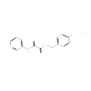 O=C(NCc1ccc(C(=O)O)cc1)C(=O)Nc1cccnc1